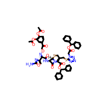 CC(=O)Oc1ccc(C(=O)CO/N=C(\C(=O)N[C@@H]2C(=O)N3C(C(=O)OC(c4ccccc4)c4ccccc4)=C(CSc4nnnn4CC(=O)OC(c4ccccc4)c4ccccc4)CS[C@H]23)c2coc(N)n2)cc1OC(C)=O